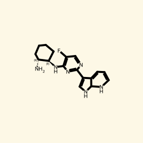 N[C@@H]1CCCC[C@H]1Nc1nc(C2=CNC3NC=CC=C23)ncc1F